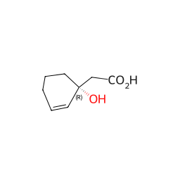 O=C(O)C[C@@]1(O)C=CCCC1